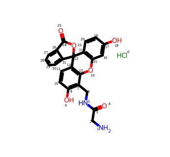 Cl.NCC(=O)NCc1c(O)ccc2c1Oc1cc(O)ccc1C21OC(=O)c2ccccc21